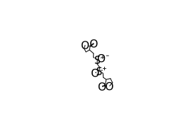 O=C1OCCC1CC[S+]([O-])CC[S+]([O-])CCC1CCOC1=O